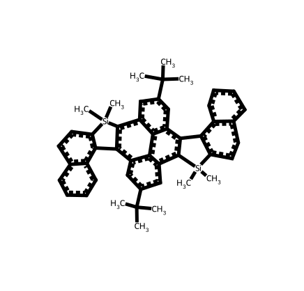 CC(C)(C)c1cc2c3c(c4cc(C(C)(C)C)cc5c6c(c(c1)c2c54)[Si](C)(C)c1ccc2ccccc2c1-6)[Si](C)(C)c1ccc2ccccc2c1-3